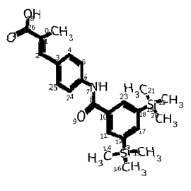 C/C(=C\c1ccc(NC(=O)c2cc([Si](C)(C)C)cc([Si](C)(C)C)c2)cc1)C(=O)O